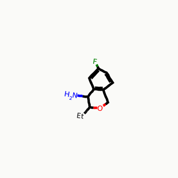 CCC1OCc2ccc(F)cc2C1N